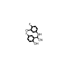 N#CC(Nc1ccc(F)c(Cl)c1)c1cc(F)ccc1O